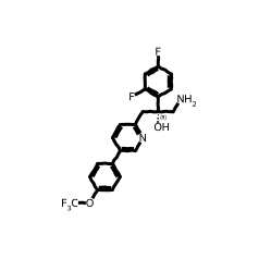 NC[C@@](O)(Cc1ccc(-c2ccc(OC(F)(F)F)cc2)cn1)c1ccc(F)cc1F